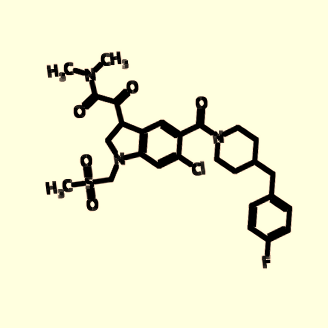 CN(C)C(=O)C(=O)C1CN(CS(C)(=O)=O)c2cc(Cl)c(C(=O)N3CCC(Cc4ccc(F)cc4)CC3)cc21